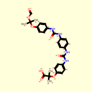 CC(C)(OC=O)Oc1ccc(NC(=O)Nc2ccc(NC(=O)Nc3ccc(OC(C)(C)C(=O)O)cc3)cc2)cc1